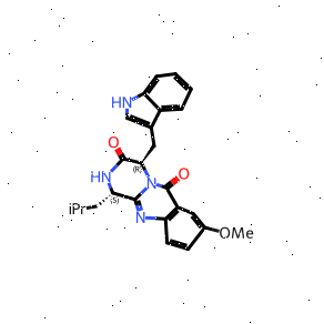 COc1ccc2nc3n(c(=O)c2c1)[C@H](Cc1c[nH]c2ccccc12)C(=O)N[C@H]3CC(C)C